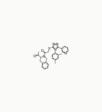 CC(=O)C1Cc2ccccc2CN1C(=O)CSc1nnc(-c2cccnc2)n1-c1ccc(C)cc1C